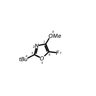 COc1nc(C(C)(C)C)oc1F